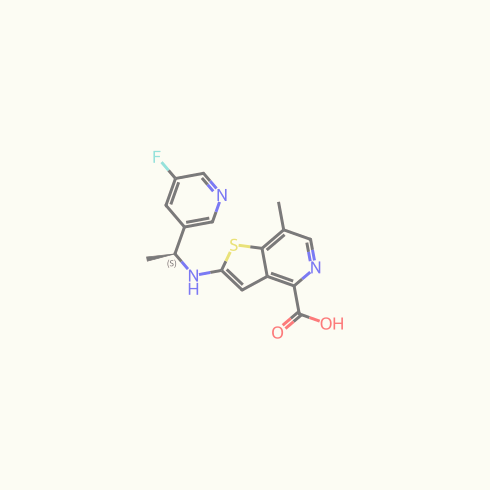 Cc1cnc(C(=O)O)c2cc(N[C@@H](C)c3cncc(F)c3)sc12